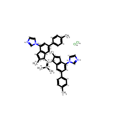 CC1=Cc2c(cc(-c3ccc(C)cc3)cc2-n2ccnc2)[C@@H]1[Zr+2]([C@H]1C(C)=Cc2c1cc(-c1ccc(C)cc1)cc2-n1ccnc1)=[Si](C)C.[Cl-].[Cl-]